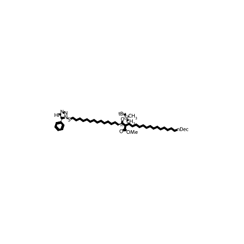 CCCCCCCCCCCCCCCCCCCCCCCCC(C(=O)OC)[C@@H](CCCCCCCCCCCCCCSN1N=NN[C@H]1c1ccccc1)O[Si](C)(C)C(C)(C)C